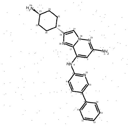 Nc1cc(Nc2ccc(-c3ccccc3)cn2)c2nc([C@H]3CC[C@H](N)CC3)cn2n1